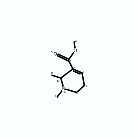 COC(=O)C1=CCCN(C)C1C